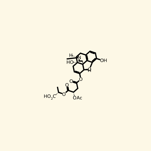 CC(=O)O[C@@H](CC(=O)OC1=CC[C@@]2(O)[C@H]3Cc4ccc(O)c5c4[C@@]2(CCN3C)[C@H]1O5)C(=O)O[C@@H](C)C(=O)O